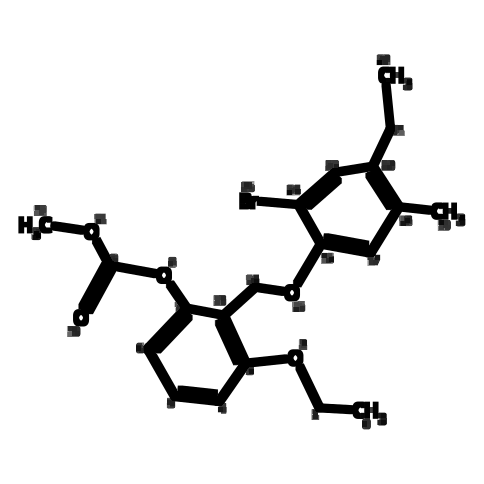 CCOc1cccc(OC(=O)OC)c1COc1cc(C)c(CC)cc1Br